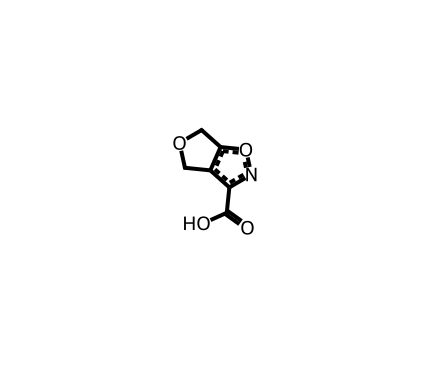 O=C(O)c1noc2c1COC2